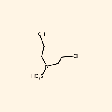 O=S(=O)(O)N(CCO)CCO